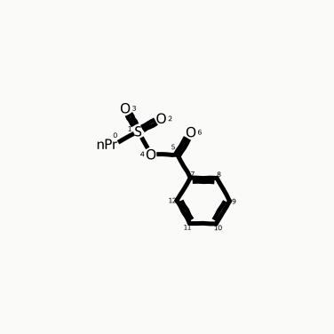 CCCS(=O)(=O)OC(=O)c1ccccc1